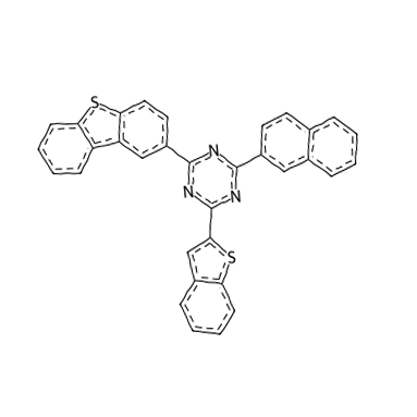 c1ccc2cc(-c3nc(-c4ccc5sc6ccccc6c5c4)nc(-c4cc5ccccc5s4)n3)ccc2c1